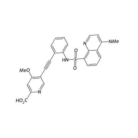 CNc1ccnc2c(S(=O)(=O)Nc3ccccc3C#Cc3cnc(C(=O)O)cc3OC)cccc12